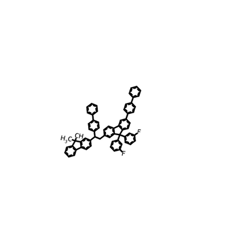 CC1(C)c2ccccc2-c2ccc(C(Cc3ccc4c(c3)C(c3cccc(F)c3)(c3cccc(F)c3)c3ccc(-c5ccc(-c6ccccc6)cc5)cc3-4)c3ccc(-c4ccccc4)cc3)cc21